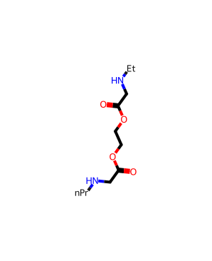 CCCNCC(=O)OCCOC(=O)CNCC